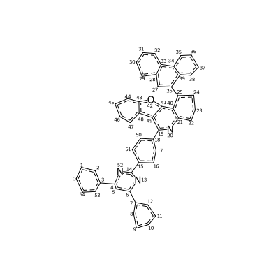 c1ccc(-c2cc(-c3ccccc3)nc(-c3ccc(-c4nc5cccc(-c6cc7ccccc7c7ccccc67)c5c5oc6ccccc6c45)cc3)n2)cc1